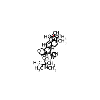 CN[C@](C)(CO[C@H]1[C@H](n2cncn2)C[C@@]23COC[C@@]1(C)[C@@H]2CC[C@H]1C3=CC[C@@]2(C)[C@H](C(=O)O)[C@@](C)([C@H](C)C(C)C)CC[C@]12C)C(C)C